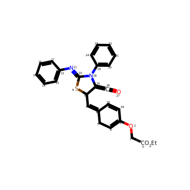 CCOC(=O)COC1=CCC(=CC2SC(=Nc3ccccc3)N(c3ccccc3)C2=C=O)C=C1